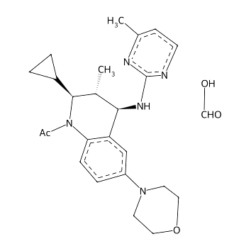 CC(=O)N1c2ccc(N3CCOCC3)cc2[C@H](Nc2nccc(C)n2)[C@@H](C)[C@@H]1C1CC1.O=CO